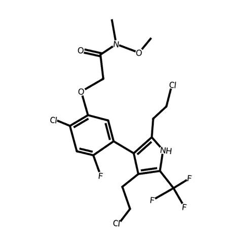 CON(C)C(=O)COc1cc(-c2c(CCCl)[nH]c(C(F)(F)F)c2CCCl)c(F)cc1Cl